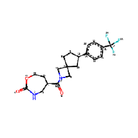 O=C1NC[C@H](C(=O)N2CC3(CC[C@@H](c4ccc(C(F)(F)F)cc4)C3)C2)CCO1